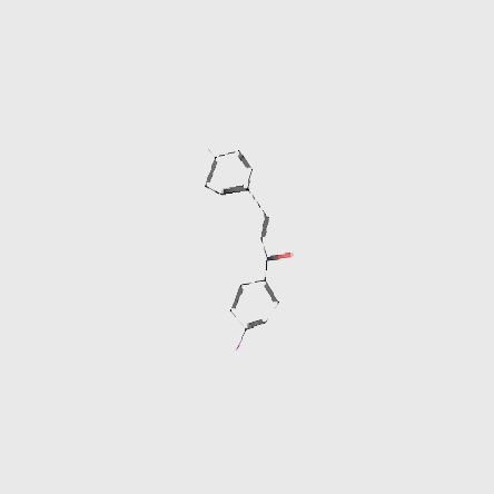 O=C(/C=C/c1ccc(O)cc1)c1ccc(I)cc1